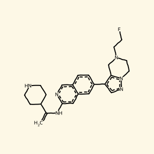 C=C(Nc1cc2cc(-c3cnn4c3CN(CCF)CC4)ccc2cn1)C1CCNCC1